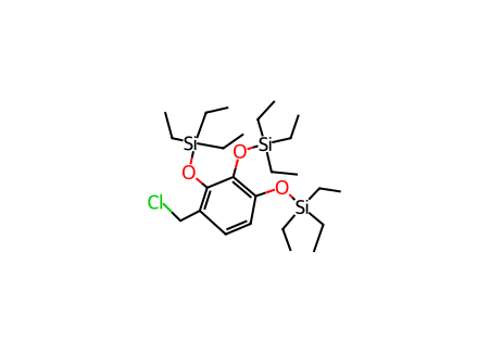 CC[Si](CC)(CC)Oc1ccc(CCl)c(O[Si](CC)(CC)CC)c1O[Si](CC)(CC)CC